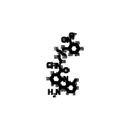 Cc1cccc2c(N)c3cccc(C(=O)NCC[N+](C)(C)Cc4ccccc4[N+](=O)[O-])c3nc12.[Cl-]